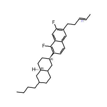 C/C=C/CCc1cc2ccc([C@@H]3CC[C@@H]4CC(CCCC)CCC4C3)c(F)c2cc1F